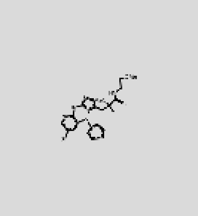 COCCNC(=O)C(C)(Cc1csc(Nc2ncc(Br)cc2Sc2ccccc2)n1)OC